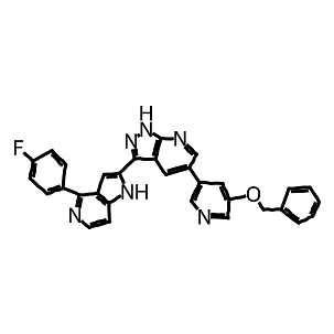 Fc1ccc(-c2nccc3[nH]c(-c4n[nH]c5ncc(-c6cncc(OCc7ccccc7)c6)cc45)cc23)cc1